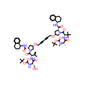 C=C(C)[C@H](NC(=O)[C@H](CO)NC(=O)OC(C)(C)C)C(=O)N1C[C@@H](OCC#CC#CCO[C@H]2C[C@@H](C(=O)N[C@@H]3CCCc4ccccc43)N(C(=O)[C@@H](NC(=O)[C@H](C)N(C)C(=O)OC(C)(C)C)C(C)(C)C)C2)C[C@H]1C(=O)NC1CCCc2ccccc21